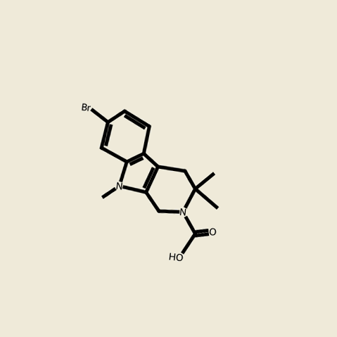 Cn1c2c(c3ccc(Br)cc31)CC(C)(C)N(C(=O)O)C2